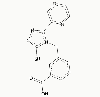 O=C(O)c1cccc(Cn2c(S)nnc2-c2cnccn2)c1